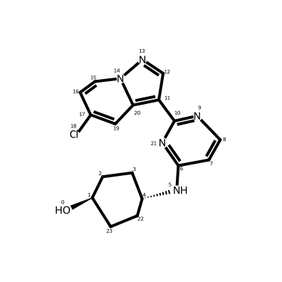 O[C@H]1CC[C@H](Nc2ccnc(-c3cnn4ccc(Cl)cc34)n2)CC1